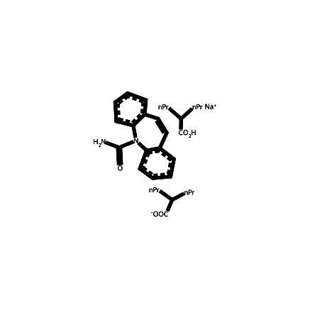 CCCC(CCC)C(=O)O.CCCC(CCC)C(=O)[O-].NC(=O)N1c2ccccc2C=Cc2ccccc21.[Na+]